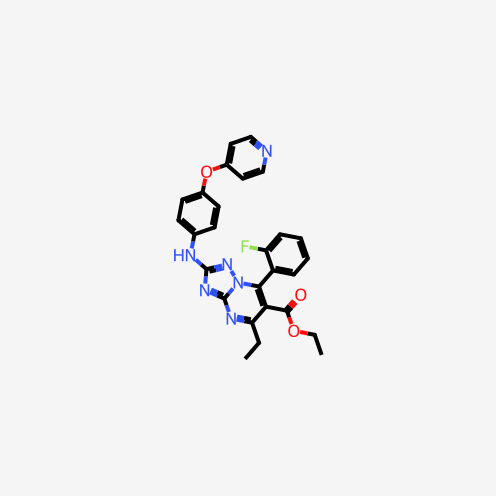 CCOC(=O)c1c(CC)nc2nc(Nc3ccc(Oc4ccncc4)cc3)nn2c1-c1ccccc1F